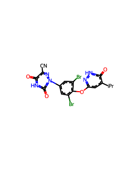 CC(C)c1cc(Oc2c(Br)cc(-n3nc(C#N)c(=O)[nH]c3=O)cc2Br)n[nH]c1=O